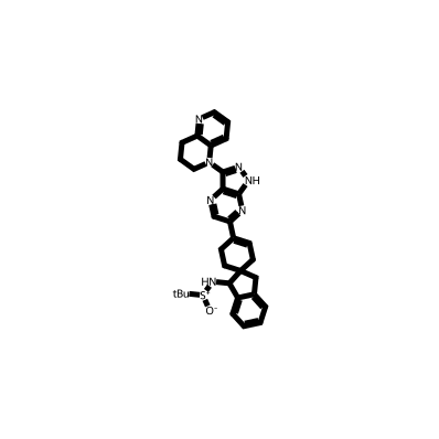 CC(C)(C)[S+]([O-])NC1c2ccccc2CC12CC=C(c1cnc3c(N4CCCc5ncccc54)n[nH]c3n1)CC2